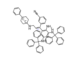 N#Cc1cccc(/C(=C\CNC23CCC(c4ccccc4)(CC2)CC3)c2cc(NC(c3ccccc3)(c3ccccc3)c3ccccc3)nc(NC(c3ccccc3)(c3ccccc3)c3ccccc3)c2N)c1